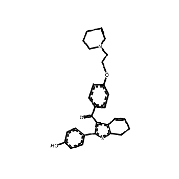 O=C(c1ccc(OCCN2CCCCC2)cc1)c1c(-c2ccc(O)cc2)sc2c1C=CCC2